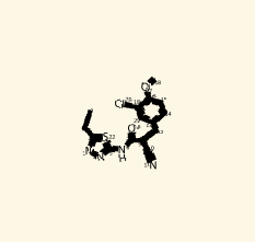 CCc1nnc(NC(=O)C(C#N)=Cc2ccc(OC)c(Cl)c2)s1